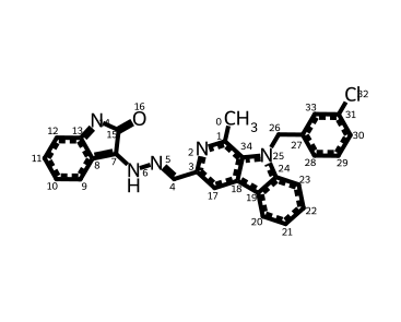 Cc1nc(C=NNC2=c3ccccc3=NC2=O)cc2c3ccccc3n(Cc3cccc(Cl)c3)c12